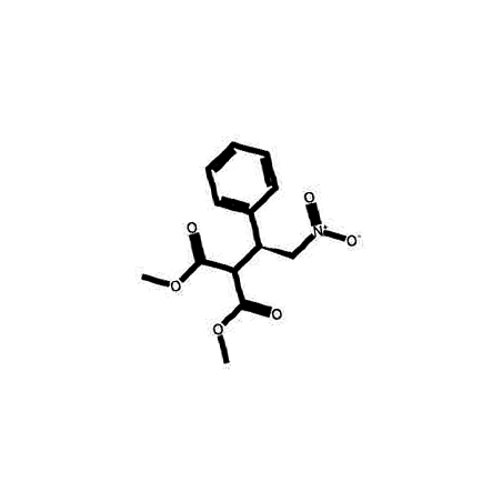 COC(=O)C(C(=O)OC)[C@H](C[N+](=O)[O-])c1ccccc1